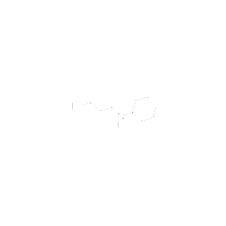 CC(C)CCCNC1CCCCC1